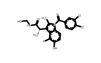 Cc1c([C@H](C)C(=O)NCO)c2c(F)c(O)ccc2n1C(=O)c1ccc(Cl)c(Cl)c1